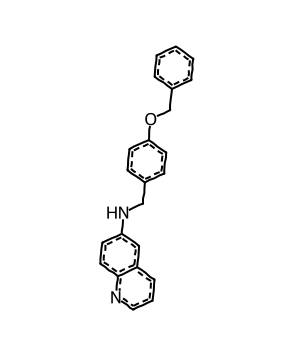 c1ccc(COc2ccc(CNc3ccc4ncccc4c3)cc2)cc1